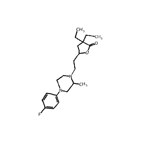 CCC1(CC)CC(CCN2CCN(c3ccc(F)cc3)CC2C)OC1=O